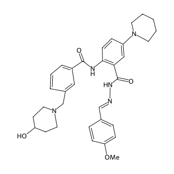 COc1ccc(/C=N/NC(=O)c2cc(N3CCCCC3)ccc2NC(=O)c2cccc(CN3CCC(O)CC3)c2)cc1